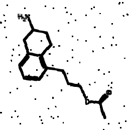 CC(=O)OCCCc1cccc2c1CCC(N)C2